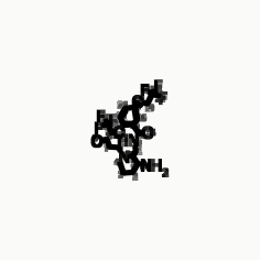 NC1CCCN(CCC=O)C1CNC(=O)c1cc(OCC(F)(F)F)ccc1OCC(F)(F)F